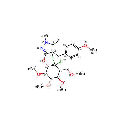 CCCCOC[C@@H]1[C@@H](OCCCC)[C@H](OCCCC)[C@@H](OCCCC)[C@H](Oc2nn(C(C)C)c(C)c2Cc2ccc(OCCCC)cc2)C1(F)F